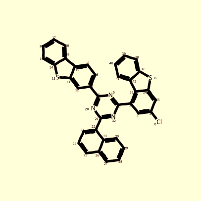 Clc1cc(-c2nc(-c3ccc4c(c3)sc3ccccc34)nc(-c3cccc4ccccc34)n2)c2c(c1)sc1ccccc12